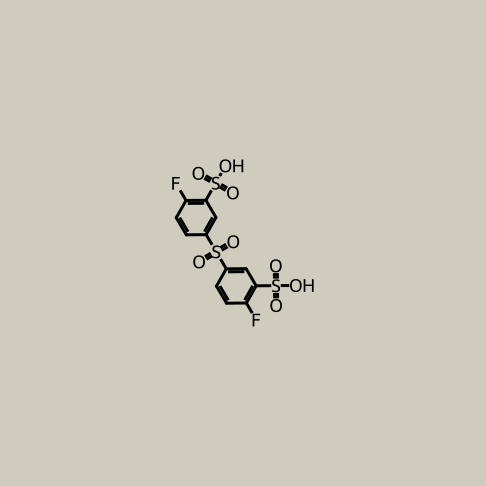 O=S(=O)(O)c1cc(S(=O)(=O)c2ccc(F)c(S(=O)(=O)O)c2)ccc1F